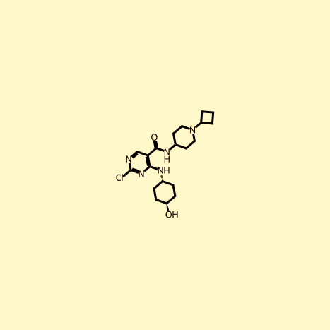 O=C(NC1CCN(C2CCC2)CC1)c1cnc(Cl)nc1N[C@H]1CC[C@H](O)CC1